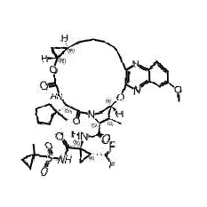 COc1ccc2nc3c(nc2c1)O[C@H]1CN(C(=O)[C@H](C2(C)CCCC2)NC(=O)O[C@@H]2C[C@H]2CCCCC3)[C@H](C(=O)N[C@]2(C(=O)NS(=O)(=O)C3(C)CC3)C[C@H]2C(F)F)[C@@H]1C